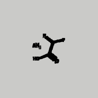 O=C(O)C(F)F.[AlH3]